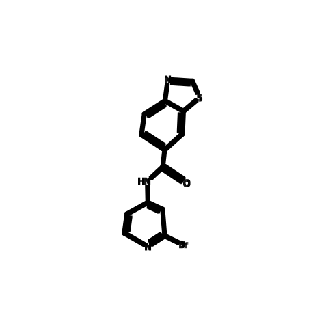 O=C(Nc1ccnc(Br)c1)c1ccc2ncsc2c1